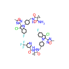 Cc1nc(-c2c(Cl)c3cc(F)ccc3n2-c2ccc(CNC(=O)C3(C(N)=O)CC3)cc2)no1.Cc1nc(-c2c(Cl)c3cc(F)ccc3n2-c2ccc(CNC(=O)C3(NC(=O)c4cncc(C(F)(F)F)c4)CC3)cc2)no1